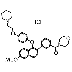 COc1ccc2c(Oc3ccc(OCCN4CCCCC4)cc3)c(-c3cccc(C(=O)N4CCOCC4)c3)ccc2c1.Cl